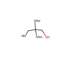 CCCCCC(CO)(OC)OC